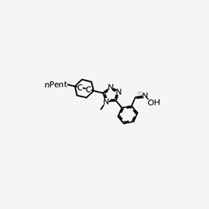 CCCCCC12CCC(c3nnc(-c4ccccc4/C=N\O)n3C)(CC1)CC2